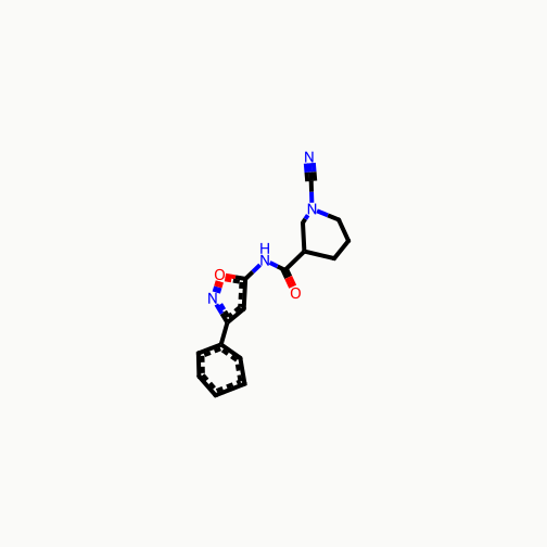 N#CN1CCCC(C(=O)Nc2cc(-c3ccccc3)no2)C1